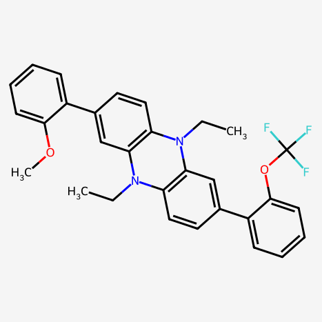 CCN1c2ccc(-c3ccccc3OC(F)(F)F)cc2N(CC)c2ccc(-c3ccccc3OC)cc21